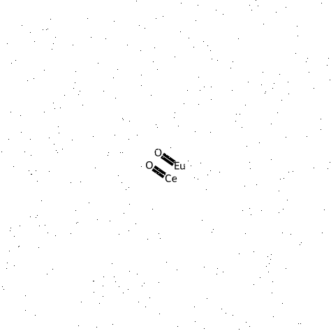 [O]=[Ce].[O]=[Eu]